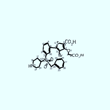 O=C(O)COc1c(C(=O)O)sc(-c2cccc(N(C3CCNCC3)S(=O)(=O)Cc3ccccc3)c2)c1Br